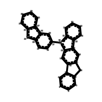 c1ccc2c(c1)Cc1cc3c4ccccc4n(-c4ccc5sc6ccccc6c5c4)c3cc1-2